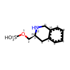 O=S(=O)(O)OC[C@@H]1Cc2ccccc2CN1